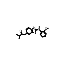 COc1ccccc1Nc1nc2ccc(CC(=O)C(C)C)cc2o1